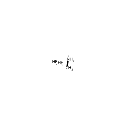 CN.F.F